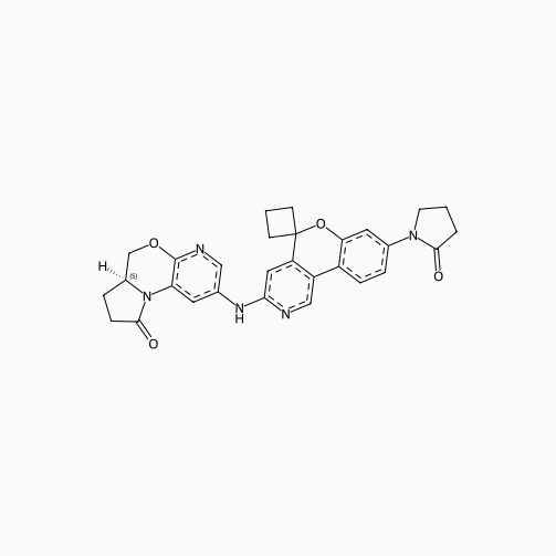 O=C1CCCN1c1ccc2c(c1)OC1(CCC1)c1cc(Nc3cnc4c(c3)N3C(=O)CC[C@H]3CO4)ncc1-2